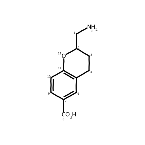 NCC1CCc2cc(C(=O)O)ccc2O1